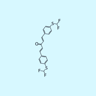 O=C(C=Cc1ccc(SC(F)F)cc1)C=Cc1ccc(SC(F)F)cc1